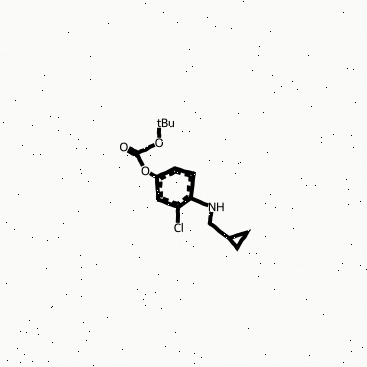 CC(C)(C)OC(=O)Oc1ccc(NCC2CC2)c(Cl)c1